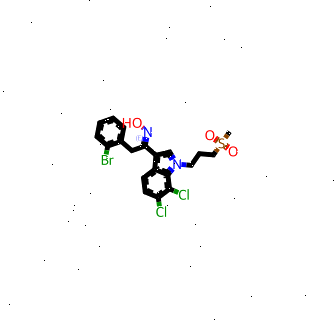 CS(=O)(=O)CCCn1cc(/C(Cc2ccccc2Br)=N/O)c2ccc(Cl)c(Cl)c21